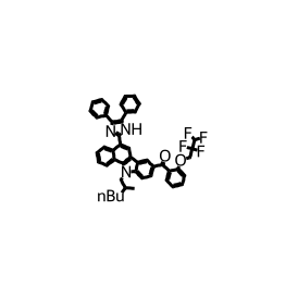 CCCCC(C)Cn1c2ccc(C(=O)c3ccccc3OCC(F)(F)C(F)F)cc2c2cc(-c3nc(-c4ccccc4)c(-c4ccccc4)[nH]3)c3ccccc3c21